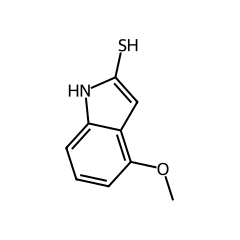 COc1cccc2[nH]c(S)cc12